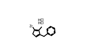 CC1=[C]([Zr])CC=C1Cc1ccccc1.Cl.Cl